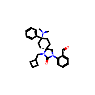 CN(C)[C@]1(c2ccccc2)CC[C@]2(CC1)CN(c1ccccc1C=O)C(=O)N2CC1CCC1